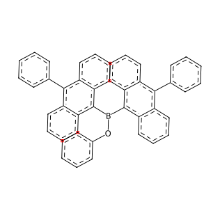 c1ccc(OB(c2c3ccccc3c(-c3ccccc3)c3ccccc23)c2c3ccccc3c(-c3ccccc3)c3ccccc23)cc1